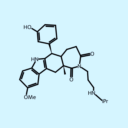 COc1ccc2[nH]c3c(c2c1)C[C@@]1(C)C(=O)N(CCCNC(C)C)C(=O)CCC1[C@@H]3c1cccc(O)c1